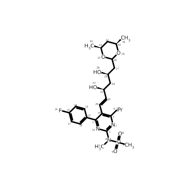 CC(C)c1nc(N(C)S(C)(=O)=O)nc(-c2ccc(F)cc2)c1/C=C/[C@@H](O)C[C@@H](O)CC1O[C@H](C)C[C@H](C)O1